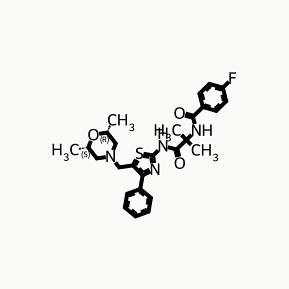 C[C@@H]1CN(Cc2sc(NC(=O)C(C)(C)NC(=O)c3ccc(F)cc3)nc2-c2ccccc2)C[C@H](C)O1